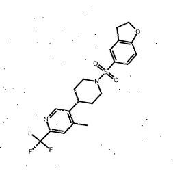 Cc1cc(C(F)(F)F)ncc1C1CCN(S(=O)(=O)c2ccc3c(c2)CCO3)CC1